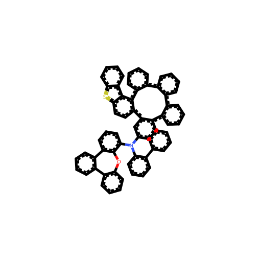 c1ccc(-c2ccccc2N(c2ccc3c4ccccc4c4ccccc4c4ccccc4c4c(ccc5sc6ccccc6c54)c3c2)c2cccc3c2Oc2ccccc2-c2ccccc2-3)cc1